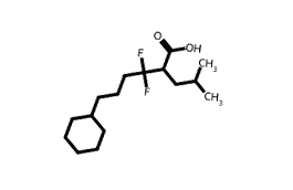 CC(C)CC(C(=O)O)C(F)(F)CCCC1CCCCC1